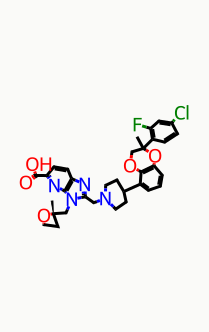 CC1(c2ccc(Cl)cc2F)COc2c(cccc2C2CCN(Cc3nc4ccc(C(=O)O)nc4n3C[C@]3(C)CCO3)CC2)O1